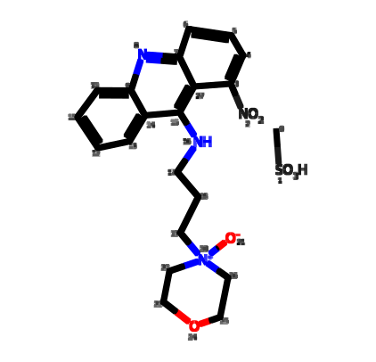 CS(=O)(=O)O.O=[N+]([O-])c1cccc2nc3ccccc3c(NCCC[N+]3([O-])CCOCC3)c12